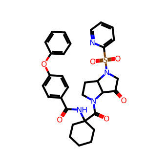 O=C(NC1(C(=O)N2CCC3C2C(=O)CN3S(=O)(=O)c2ccccn2)CCCCC1)c1ccc(Oc2ccccc2)cc1